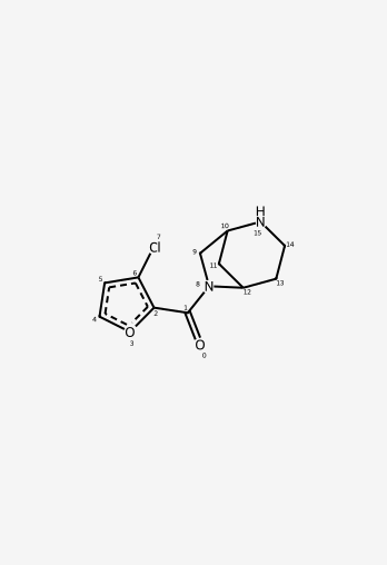 O=C(c1occc1Cl)N1CC2CC1CCN2